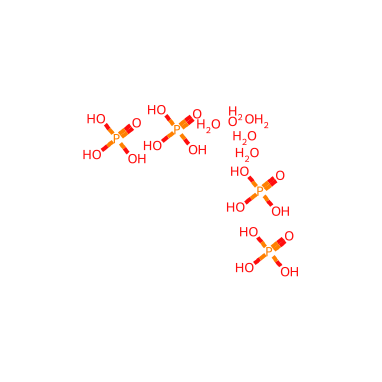 O.O.O.O.O.O=P(O)(O)O.O=P(O)(O)O.O=P(O)(O)O.O=P(O)(O)O